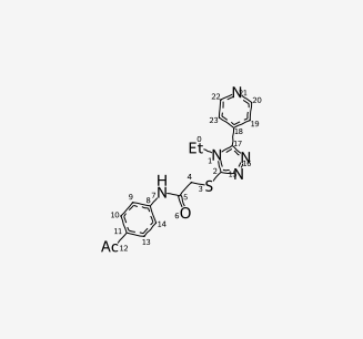 CCn1c(SCC(=O)Nc2ccc(C(C)=O)cc2)nnc1-c1ccncc1